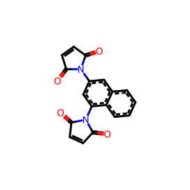 O=C1C=CC(=O)N1c1cc(N2C(=O)C=CC2=O)c2ccccc2c1